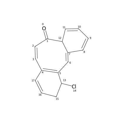 O=C1/C=C\C2=C(/C=C3/C=CC=CC13)C(Cl)CC=C2